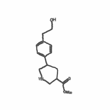 COC(=O)C1CNCC(c2ccc(CCO)cc2)C1